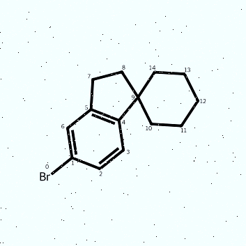 Brc1ccc2c(c1)CCC21CCCCC1